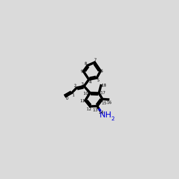 C=CC=C(c1ccccc1)c1ccc(N)c(C)c1C